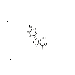 CC(=O)C1=C(O)C(c2ccc(F)cc2)SC1